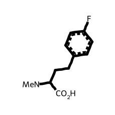 CNC(CCc1ccc(F)cc1)C(=O)O